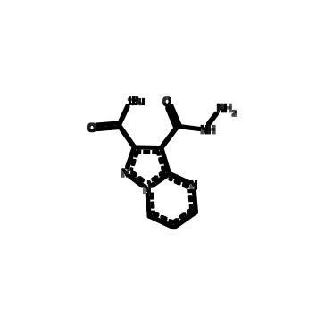 CC(C)(C)C(=O)c1nn2cccnc2c1C(=O)NN